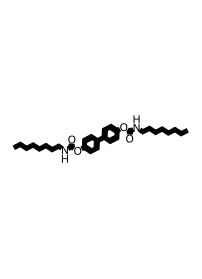 CCCCCCCCNC(=O)Oc1ccc(-c2ccc(OC(=O)NCCCCCCCC)cc2)cc1